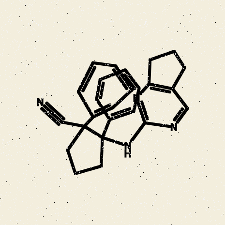 N#CC1(c2ccccc2)CCCC1(Nc1ncc2c(n1)CCC2)c1ccccc1